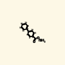 O=C(O[SiH3])c1ccc(-c2ccccc2)cc1